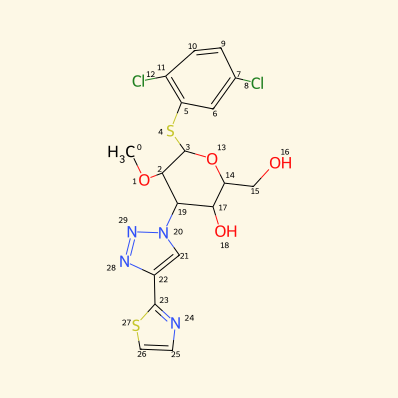 COC1C(Sc2cc(Cl)ccc2Cl)OC(CO)C(O)C1n1cc(-c2nccs2)nn1